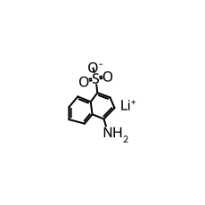 Nc1ccc(S(=O)(=O)[O-])c2ccccc12.[Li+]